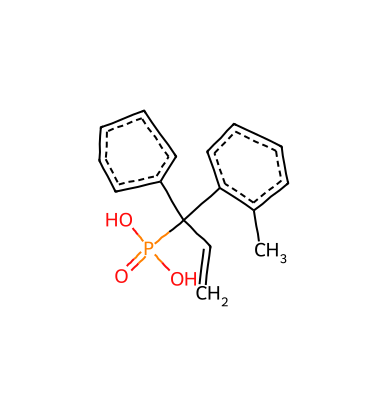 C=CC(c1ccccc1)(c1ccccc1C)P(=O)(O)O